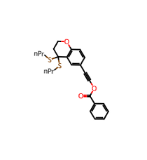 CCCSC1(SCCC)CCOc2ccc(C#COC(=O)c3ccccc3)cc21